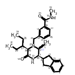 C/C=C1/[C@@H](C2Cc3ccccc3C2)NC(=O)[C@@H](C(CC)CC)N1Cc1cccc(C(=O)NC)c1